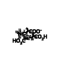 C=C(CC)C(=O)O.CC(=CCC[N+](C)(C)C)C(=O)[O-].CC=C(C)C(=O)O